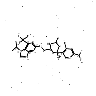 CC1CC(O)(c2cnc(C(F)F)cc2F)CC(COc2cc(C(F)(F)F)c3c(c2)ncn3C(C)C)N1